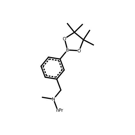 CCCN(C)Cc1cccc(B2OC(C)(C)C(C)(C)O2)c1